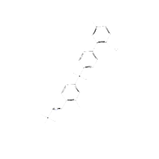 CCc1ccc(OC)c(-c2ccc(C(CC)(CC)c3ccc(/C=C/C(O)(CC)CC)c(C)c3)cc2)c1